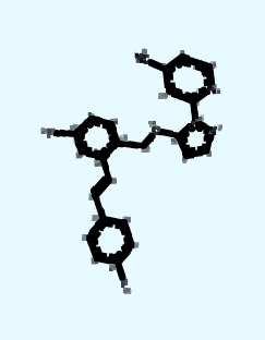 N#Cc1ccnc(-n2nccc2OCc2ccc(F)cc2C=Cc2ccc(F)cc2)c1